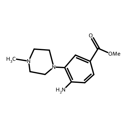 COC(=O)c1ccc(N)c(N2CCN(C)CC2)c1